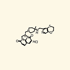 CC1(NCc2cc3c(cn2)OCCS3)CCN(C[C@@H]2Cn3c(=O)ccc4ccc(=O)n2c43)CC1.Cl